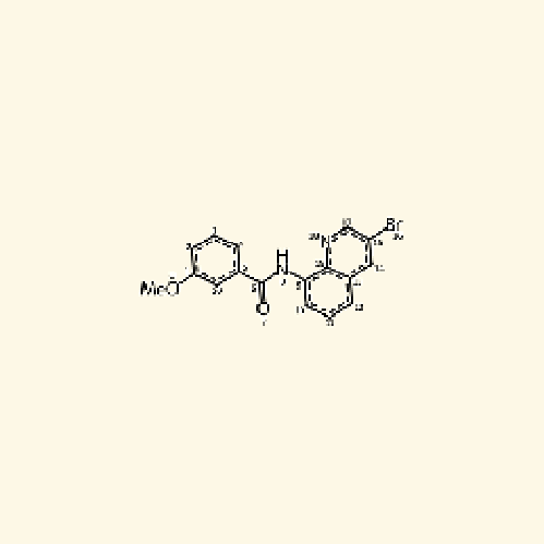 COc1cccc(C(=O)Nc2cccc3cc(Br)cnc23)c1